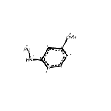 CCC(C)Nc1cc(OC)ncn1